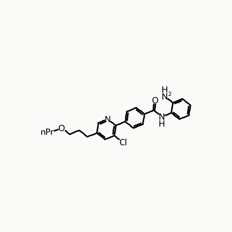 CCCOCCCc1cnc(-c2ccc(C(=O)Nc3ccccc3N)cc2)c(Cl)c1